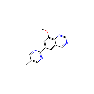 COc1cc(-c2ncc(C)cn2)cc2[c]ncnc12